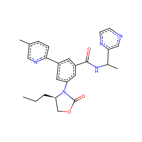 CCC[C@@H]1COC(=O)N1c1cc(C(=O)NC(C)c2cnccn2)cc(-c2ccc(C)cn2)c1